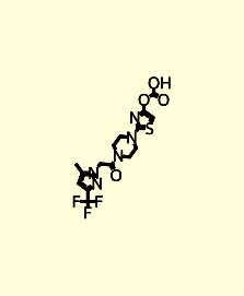 Cc1cc(C(F)(F)F)nn1CC(=O)N1CCN(c2nc(OC(=O)O)cs2)CC1